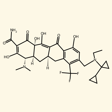 CCN(Cc1cc(O)c2c(c1C(F)(F)F)C[C@H]1C[C@H]3[C@H](N(C)C)C(O)=C(C(N)=O)C(=O)[C@@]3(O)C(O)=C1C2=O)C1(C2CC2)CC1